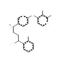 CC[C@H](CCC(N)c1ccccc1C)c1ccc(Sc2ccnc(Cl)c2Cl)nc1